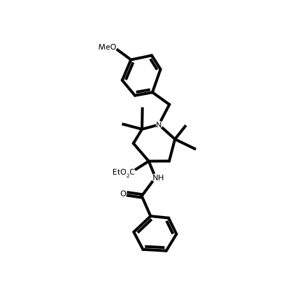 CCOC(=O)C1(NC(=O)c2ccccc2)CC(C)(C)N(Cc2ccc(OC)cc2)C(C)(C)C1